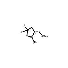 COC[C@H]1CC(F)(F)CN1C(C)(C)C